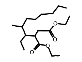 CCCCCCC(C)C(CC)C(CC(=O)OCC)C(=O)OCC